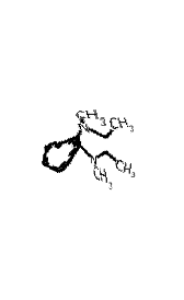 CCN(C)c1ccccc1N(C)CC